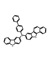 c1ccc(-c2ccc(N(c3ccc4sc5ccccc5c4c3)c3ccc4sc5c6ccccc6ccc5c4c3)cc2)cc1